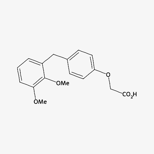 COc1cccc(Cc2ccc(OCC(=O)O)cc2)c1OC